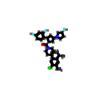 CC[C@H](NC(C)=O)c1cc(C)c(Cl)cc1C1CCN(C(=O)[C@H]2C[C@H](N3CC[C@H](F)C3)C[C@@H]2c2ccc(F)cc2F)CC1